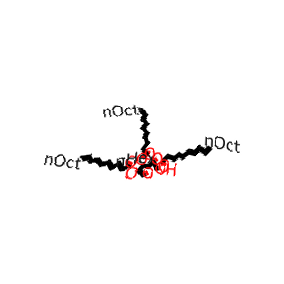 CCCCCCCC/C=C\CCCCCCCC(=O)O[C@@H]1[C@@H](OC(=O)CCCCCCC/C=C\CCCCCCCC)CO[C@@H]1[C@](CO)(CCCCCC)OC(=O)CCCCCCC/C=C\CCCCCCCC